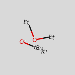 CC(C)(C)[O-].CCOCC.[K+]